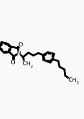 CCCCCc1ccc(CCCC(C)N2C(=O)c3ccccc3C2=O)cc1